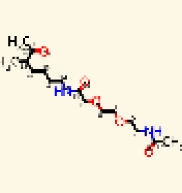 CC(=O)NCCOCCOCC(=O)NCCCCC(C)C(C)=O